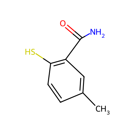 Cc1ccc(S)c(C(N)=O)c1